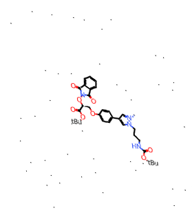 C[n+]1cc(-c2ccc(OC[C@H](ON3C(=O)c4ccccc4C3=O)C(=O)OC(C)(C)C)cc2)cn1CCCNC(=O)OC(C)(C)C